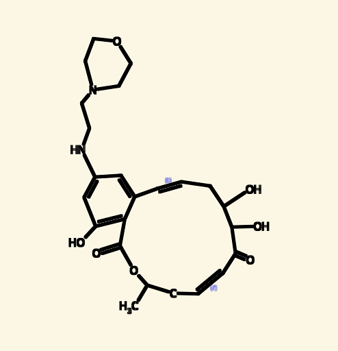 CC1C/C=C\C(=O)C(O)C(O)C/C=C/c2cc(NCCN3CCOCC3)cc(O)c2C(=O)O1